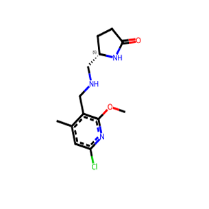 COc1nc(Cl)cc(C)c1CNC[C@@H]1CCC(=O)N1